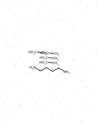 CC(=O)O.CC(=O)O.CC(=O)O.CC(=O)O.NCCCCN